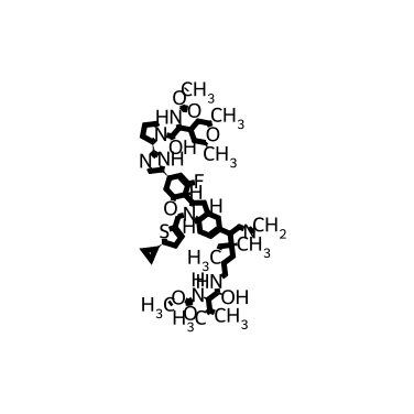 C=NCC(C1=CC[C@H]2[C@@H](C1)CC1[C@H]3C(F)=C[C@@H](C4CN=C([C@@H]5CCCN5C(O)C(NC(=O)OC)C5C[C@@H](C)O[C@@H](C)C5)N4)CC3OC(C3=CC[C@H](C4CC4)S3)N12)[C@@](C)(CC)CCCN[C@H](O)[C@@H](NC(=O)OC)C(C)C